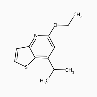 CCOc1cc(C(C)C)c2sccc2n1